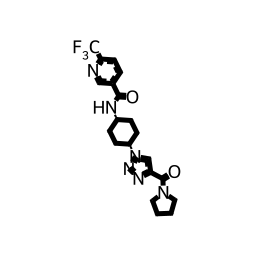 O=C(N[C@H]1CC[C@@H](n2cc(C(=O)N3CCCC3)nn2)CC1)c1ccc(C(F)(F)F)nc1